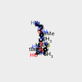 COc1cc(N2CC[C@H](OCC(=O)N[C@H](C(=O)N3C[C@H](O)C[C@H]3C(=O)N[C@@H](C)c3ccc(-c4scnc4C)cc3)C(C)(C)C)C[C@@H]2C)ccc1NC(=O)c1cccc(-c2cc[nH]n2)n1